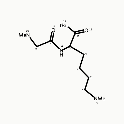 CNCCCCC(NC(=O)CNC)C(=O)C(C)(C)C